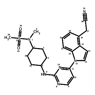 CN(C1CCC(Nc2nccc(-n3ccc4c(CC#N)cccc43)n2)CC1)S(C)(=O)=O